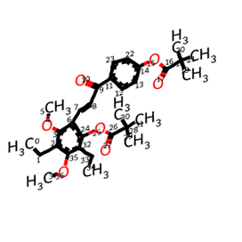 CCc1c(OC)c(C=CC(=O)c2ccc(OC(=O)C(C)(C)C)cc2)c(OC(=O)C(C)(C)C)c(CC)c1OC